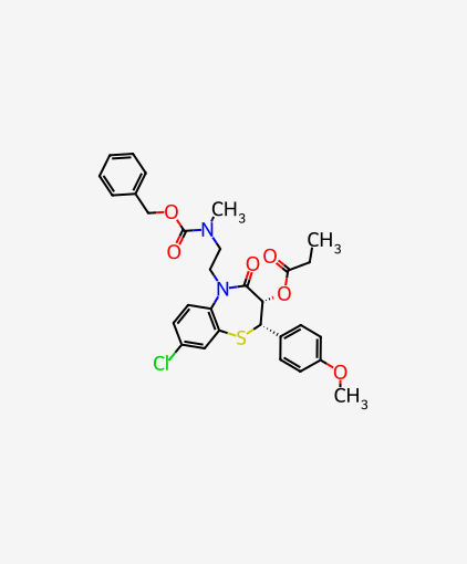 CCC(=O)O[C@H]1C(=O)N(CCN(C)C(=O)OCc2ccccc2)c2ccc(Cl)cc2S[C@H]1c1ccc(OC)cc1